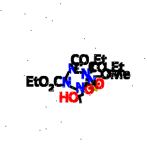 CCOC(=O)CN1CCN(CC(=O)OCC)CCN(CC(=O)OCC)C(N(CCOC)S(C)(=O)=O)CN(CC(C)O)CC1